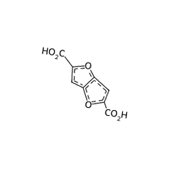 O=C(O)c1cc2oc(C(=O)O)cc2o1